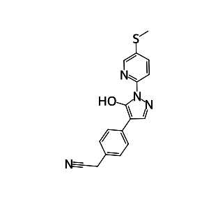 CSc1ccc(-n2ncc(-c3ccc(CC#N)cc3)c2O)nc1